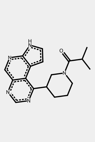 CC(C)C(=O)N1CCCC(c2ncnc3cnc4[nH]ccc4c23)C1